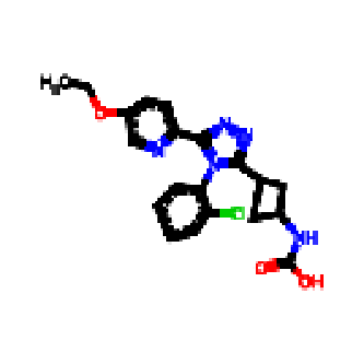 CCOc1ccc(-c2nnc(C3CC(NC(=O)O)C3)n2-c2ccccc2Cl)nc1